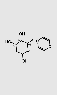 C1=COC=CO1.C[C@H]1OC(O)C[C@H](O)[C@@H]1O